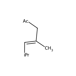 CC(=O)CC(C)=CC(C)C